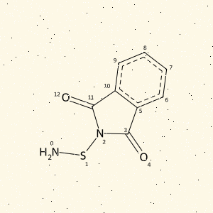 NSN1C(=O)c2ccccc2C1=O